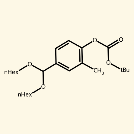 CCCCCCOC(OCCCCCC)c1ccc(OC(=O)OC(C)(C)C)c(C)c1